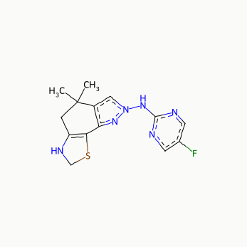 CC1(C)CC2=C(SCN2)c2nn(Nc3ncc(F)cn3)cc21